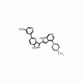 CN1CCN(c2cncc3[nH]c(-c4n[nH]c5ccc(-c6cncc(O)c6)nc45)cc23)CC1